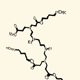 CCCCCCCCCCCCCCOC(=O)CCN(CCC(=O)OC)CCN(CC)CCCN(CC)CCN(CCC(=O)OCCCCCCCCCCCCCC)CCC(=O)OCCCCCCCCCCCCCC